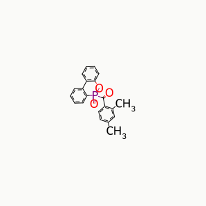 Cc1ccc(C(=O)P2(=O)Oc3ccccc3-c3ccccc32)c(C)c1